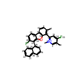 Cc1c[n+](C)c(-c2c(C)ccc3c2oc2c(-c4cccc5ccccc45)c(F)ccc23)cc1F